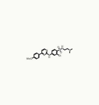 CCc1cc(Nc2nccc(-c3ccc(OC)cc3)n2)ccc1S(=O)(=O)NCCN(C)C